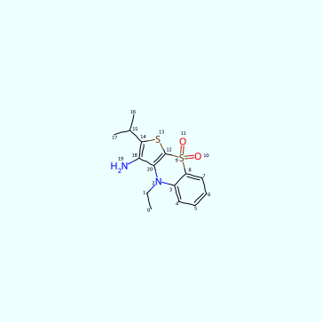 CCN1c2ccccc2S(=O)(=O)c2sc(C(C)C)c(N)c21